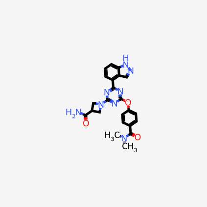 CN(C)C(=O)c1ccc(Oc2nc(-c3cccc4[nH]ncc34)nc(N3CC(C(N)=O)C3)n2)cc1